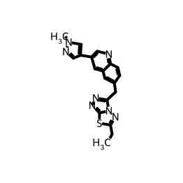 CCc1nn2c(Cc3ccc4ncc(-c5cnn(C)c5)cc4c3)nnc2s1